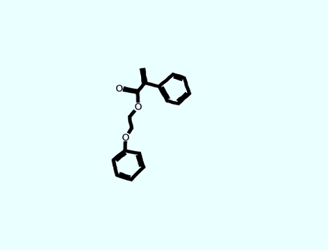 C=C(C(=O)OCCOc1ccccc1)c1ccccc1